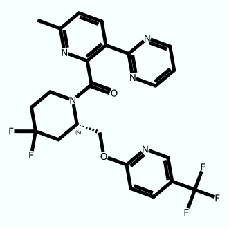 Cc1ccc(-c2ncccn2)c(C(=O)N2CCC(F)(F)C[C@H]2COc2ccc(C(F)(F)F)cn2)n1